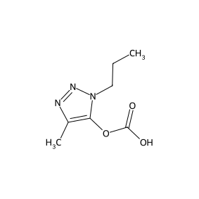 CCCn1nnc(C)c1OC(=O)O